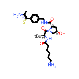 C/C(N)=C(/S)c1ccc(CNC(=O)[C@@H]2C[C@@H](O)CN2C(=O)[C@@H](NC(=O)CCCCCN)C(C)(C)C)cc1